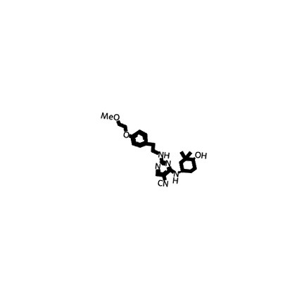 COCCOc1ccc(CCNc2ncc(C#N)c(N[C@@H]3CC[C@H](O)C(C)(C)C3)n2)cc1